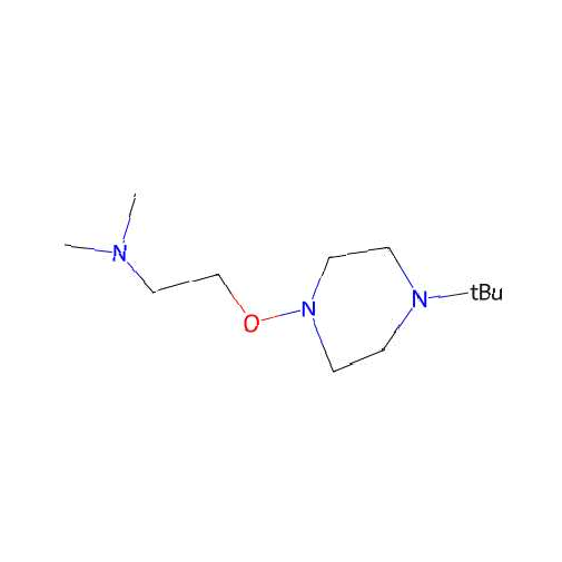 CN(C)CCON1CCN(C(C)(C)C)CC1